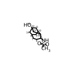 CS(=O)(=O)NC1CCC2CC3CC(O)(C2)CC31